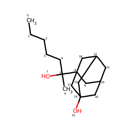 CCCCCC(C)(O)C12CC3CC(CC(O)(C3)C1)C2